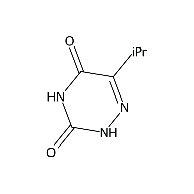 CC(C)c1n[nH]c(=O)[nH]c1=O